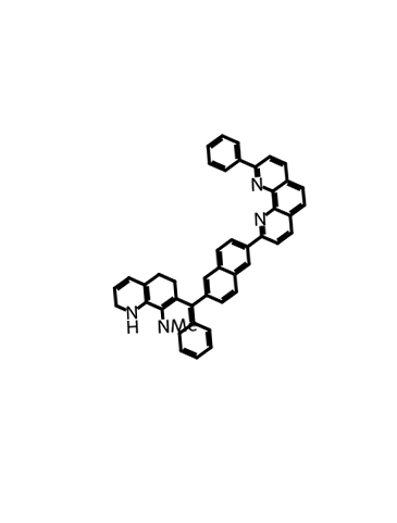 CNC1=C(/C(=C2/C=CC=CC2)c2ccc3cc(-c4ccc5ccc6ccc(-c7ccccc7)nc6c5n4)ccc3c2)CCC2=C1NCC=C2